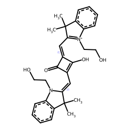 CC1(C)C(/C=C2/C(=O)C(/C=C3\N(CCO)c4ccccc4C3(C)C)=C2O)=[N+](CCO)c2ccccc21